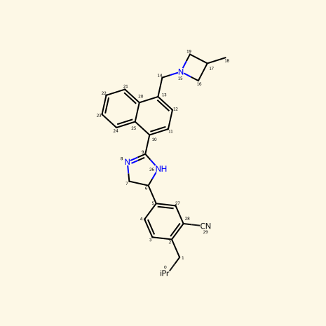 CC(C)Cc1ccc(C2CN=C(c3ccc(CN4CC(C)C4)c4ccccc34)N2)cc1C#N